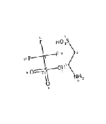 NCCS(=O)(=O)O.O=S(=O)(O)C(F)(F)F